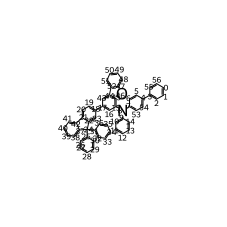 c1ccc(-c2ccc(N(c3ccccc3)c3cc(-c4ccc5c(c4)C(c4ccccc4)(c4ccccc4)c4ccccc4-5)cc4c3oc3ccccc34)cc2)cc1